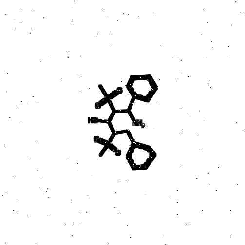 CS(=O)(=O)C(Cc1ccccc1)C(O)C(C(N)c1ccccc1)S(C)(=O)=O